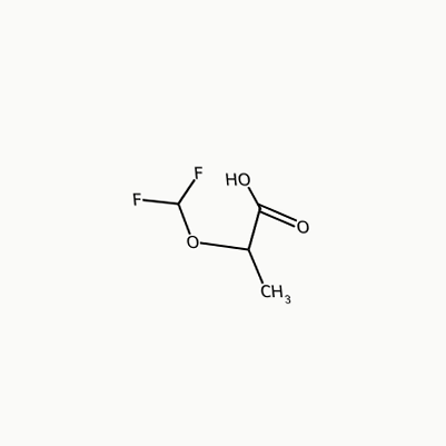 CC(OC(F)F)C(=O)O